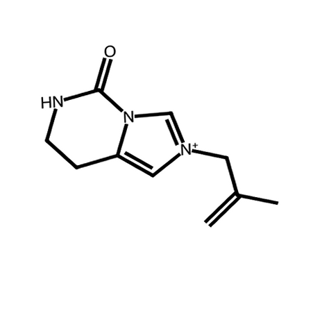 C=C(C)C[n+]1cc2n(c1)C(=O)NCC2